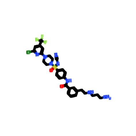 N#CN=S(=O)(c1ccc(NC(=O)c2cccc(CCNCCCN)c2)cc1)N1CCN(c2cc(C(F)(F)F)cc(Cl)n2)CC1